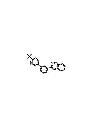 CC(C)(C)c1ncc(-c2cccc(-c3cc4ccccc4cn3)c2)cn1